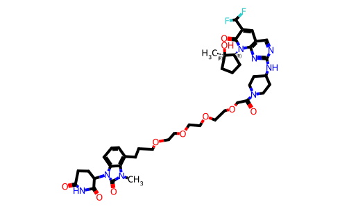 Cn1c(=O)n(C2CCC(=O)NC2=O)c2cccc(CCCOCCOCCOCCOCC(=O)N3CCC(Nc4ncc5cc(C(F)F)c(=O)n([C@@H]6CCC[C@@]6(C)O)c5n4)CC3)c21